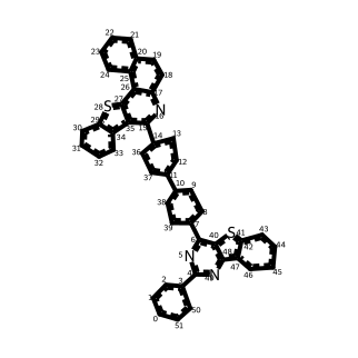 c1ccc(-c2nc(-c3ccc(-c4ccc(-c5nc6ccc7ccccc7c6c6sc7ccccc7c56)cc4)cc3)c3sc4ccccc4c3n2)cc1